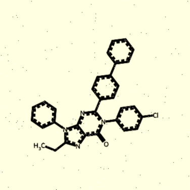 CCc1nc2c(=O)n(-c3ccc(Cl)cc3)c(-c3ccc(-c4ccccc4)cc3)nc2n1-c1ccccc1